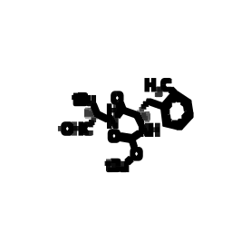 Cc1ccccc1C[C@H](NC(=O)OC(C)(C)C)C(=O)N[C@H]([C]=O)C(C)(C)C